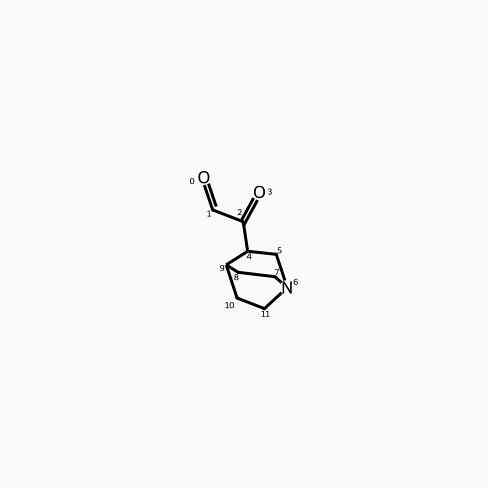 O=CC(=O)C1CN2CCC1CC2